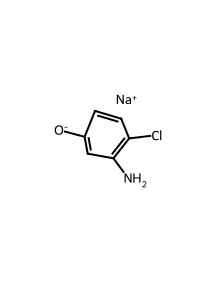 Nc1cc([O-])ccc1Cl.[Na+]